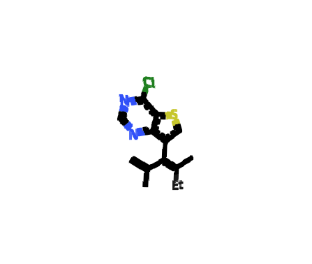 C=C(C)/C(=C(/C)CC)c1csc2c(Cl)ncnc12